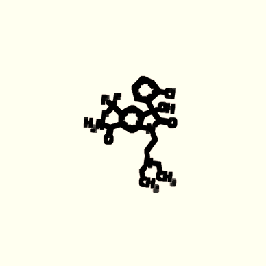 CCN(CC)CCN1C(=O)C(O)(c2ccccc2Cl)c2cc(C(F)(F)F)c(C(N)=O)cc21